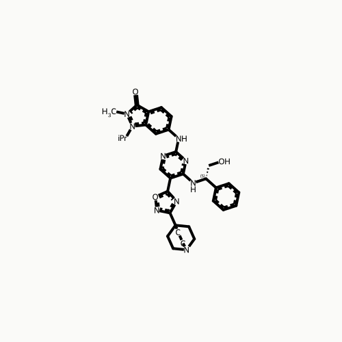 CC(C)n1c2cc(Nc3ncc(-c4nc(C56CCN(CC5)CC6)no4)c(N[C@H](CO)c4ccccc4)n3)ccc2c(=O)n1C